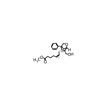 COC(=O)CCC/C=C\C[C@H]1[C@H](CO)[C@@H]2C[C@@]1(c1ccccc1)CO2